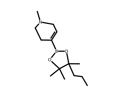 CCCC1(C)OB(C2=CCN(C)CC2)OC1(C)C